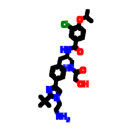 CC(C)Oc1ccc(C(=O)N[C@H](CNC(=O)CO)Cc2ccc(-c3cn(CCN)c(C(C)(C)C)n3)cc2)cc1Cl